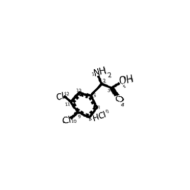 Cl.NC(C(=O)O)c1ccc(Cl)c(Cl)c1